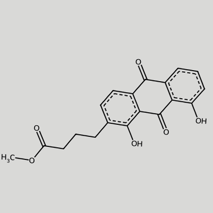 COC(=O)CCCc1ccc2c(c1O)C(=O)c1c(O)cccc1C2=O